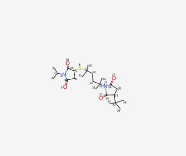 CC(C)N1C(=O)CC(SC(C)(C)CCC(C)(C)N2C(=O)CC(C(C)(C)C)C2=O)C1=O